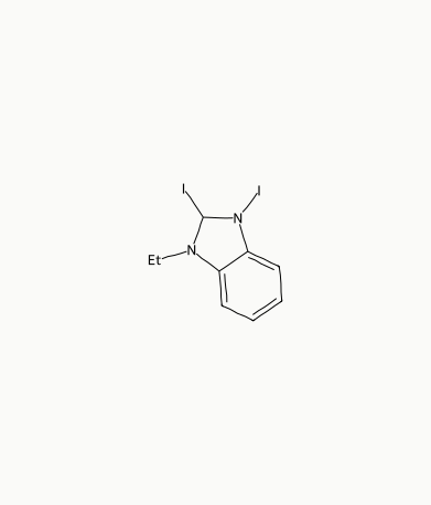 CCN1c2ccccc2N(I)C1I